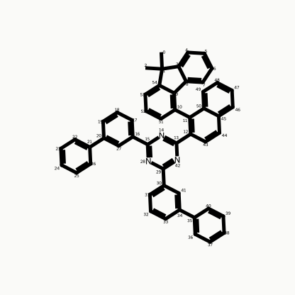 CC1(C)c2ccccc2-c2c(-c3c(-c4nc(-c5cccc(-c6ccccc6)c5)nc(-c5cccc(-c6ccccc6)c5)n4)ccc4ccccc34)cccc21